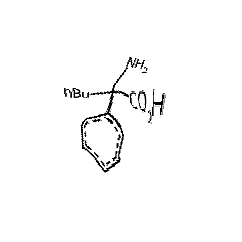 CCCCC(N)(C(=O)O)c1ccccc1